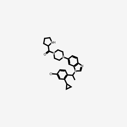 CC(c1ccc(Cl)cc1C1CC1)n1cnc2ccc(N3CCN(C(=O)C4CCCN4)CC3)cc21